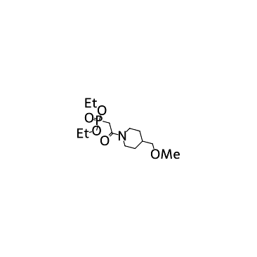 CCOP(=O)(CC(=O)N1CCC(COC)CC1)OCC